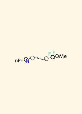 CCCc1ccc(C2CCC(/C=C/CCC3CCC(c4ccc(OC)c(F)c4F)CC3)CC2)nc1